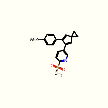 CSc1ccc(C2=CC3(C=C2c2ccc(S(C)(=O)=O)nc2)CC3)cc1